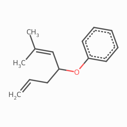 C=CCC(C=C(C)C)Oc1ccccc1